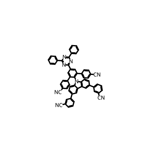 N#Cc1ccc(-c2cc(-c3nc(-c4ccccc4)nc(-c4ccccc4)n3)cc(-c3ccc(C#N)cc3)c2-n2c3ccc(-c4cccc(C#N)c4)cc3c3cc(-c4cccc(C#N)c4)ccc32)cc1